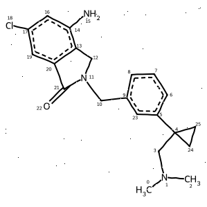 CN(C)CC1(c2cccc(CN3Cc4c(N)cc(Cl)cc4C3=O)c2)CC1